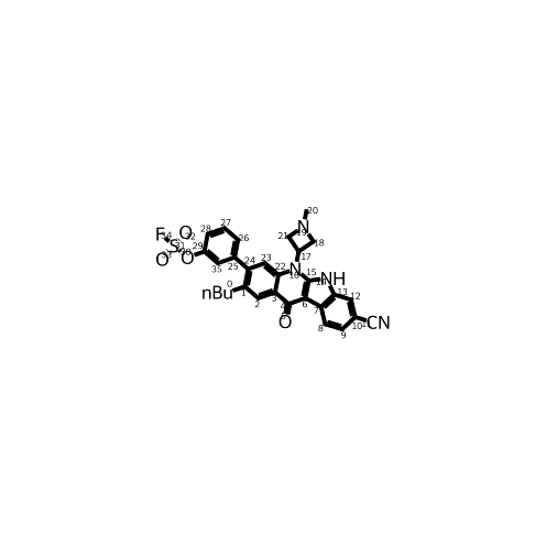 CCCCc1cc2c(=O)c3c4ccc(C#N)cc4[nH]c3n(C3CN(C)C3)c2cc1-c1cccc(OS(=O)(=O)F)c1